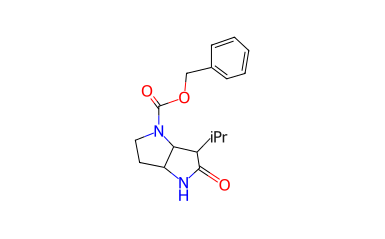 CC(C)C1C(=O)NC2CCN(C(=O)OCc3ccccc3)C21